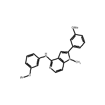 COc1cccc(-c2cc3c(Nc4cccc(OC(C)C)c4)nccc3n2C)c1